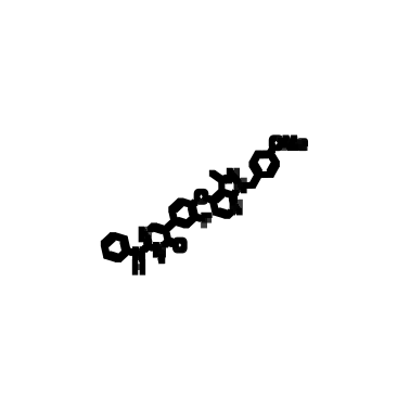 COc1ccc(Cn2nc(C)c3c(Oc4ccc(-c5cnc(Nc6ccccc6)n(C)c5=O)cc4F)ccnc32)cc1